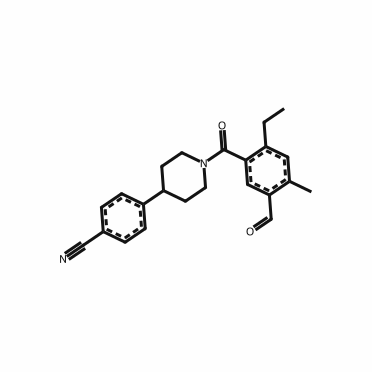 CCc1cc(C)c(C=O)cc1C(=O)N1CCC(c2ccc(C#N)cc2)CC1